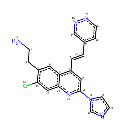 NCCc1cc2c(/C=C/c3ccnnc3)cc(-n3ccnc3)nc2cc1Cl